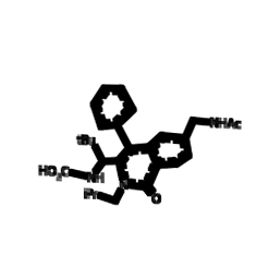 CC(=O)NCc1ccc2c(=O)n(CC(C)C)c(C(NC(=O)O)C(C)(C)C)c(-c3ccccc3)c2c1